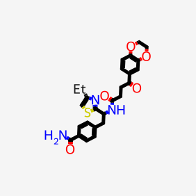 CCc1csc(C(Cc2ccc(C(N)=O)cc2)NC(=O)CCC(=O)c2ccc3c(c2)OCCO3)n1